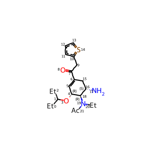 CCC(CC)O[C@@H]1C=C(C(=O)Cc2cccs2)C[C@H](N)[C@H]1N(CC)C(C)=O